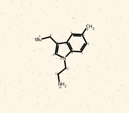 Cc1ccc2c(c1)c(CC(C)(C)C)cn2CCN